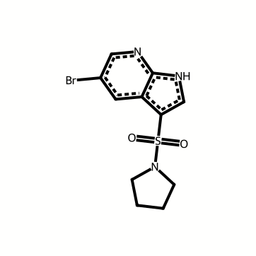 O=S(=O)(c1c[nH]c2ncc(Br)cc12)N1CCCC1